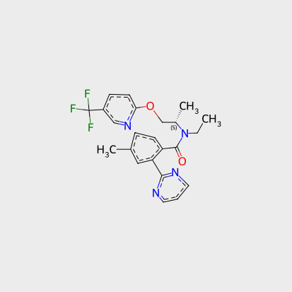 CCN(C(=O)c1ccc(C)cc1-c1ncccn1)[C@@H](C)COc1ccc(C(F)(F)F)cn1